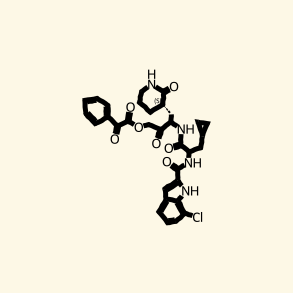 O=C(OCC(=O)C(C[C@@H]1CCCNC1=O)NC(=O)C(CC1CC1)NC(=O)c1cc2cccc(Cl)c2[nH]1)C(=O)c1ccccc1